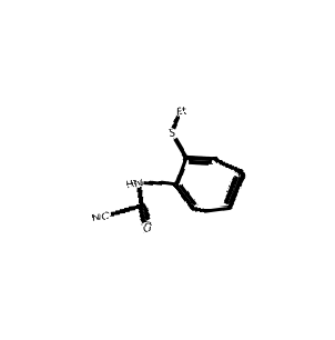 CCSc1ccccc1NC(=O)C#N